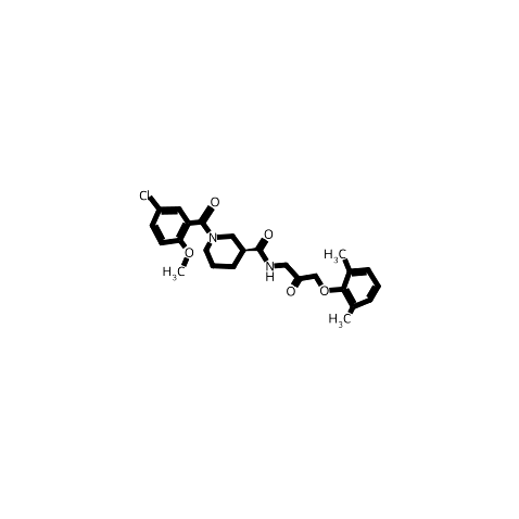 COc1ccc(Cl)cc1C(=O)N1CCC[C@H](C(=O)NCC(=O)COc2c(C)cccc2C)C1